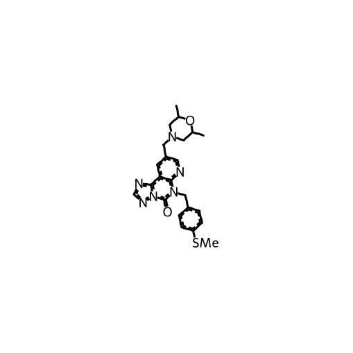 CSc1ccc(Cn2c(=O)n3ncnc3c3cc(CN4CC(C)OC(C)C4)cnc32)cc1